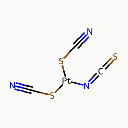 N#C[S][Pt]([N]=C=S)[S]C#N